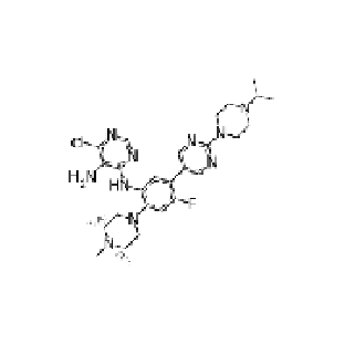 CC(C)N1CCN(c2ncc(-c3cc(Nc4ncnc(Cl)c4N)c(N4C[C@@H](C)N(C)[C@@H](C)C4)cc3F)cn2)CC1